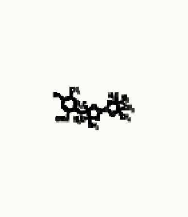 COc1cc(Br)c(C)cc1CC1(C)OB(B2OC(C)(C)C(C)(C)O2)OC1(C)C